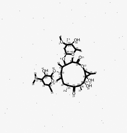 CO[C@]1(C)C[C@H](OC2C(C)C(=O)OC3C(C)[C@]3(O)[C@H](O)[C@@H](C)C(=O)[C@H](C)CC(C)[C@H](OC3OC(C)CC(N(C)C)[C@H]3O)C2C)OC(C)[C@@H]1O